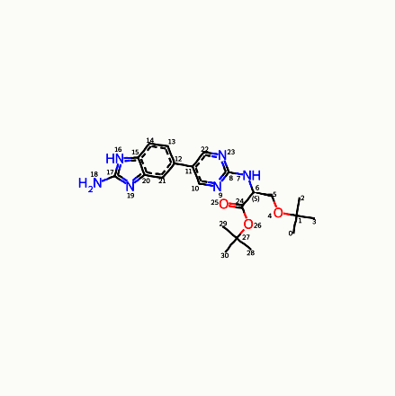 CC(C)(C)OC[C@H](Nc1ncc(-c2ccc3[nH]c(N)nc3c2)cn1)C(=O)OC(C)(C)C